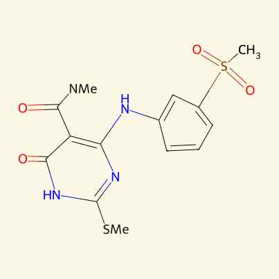 CNC(=O)c1c(Nc2cccc(S(C)(=O)=O)c2)nc(SC)[nH]c1=O